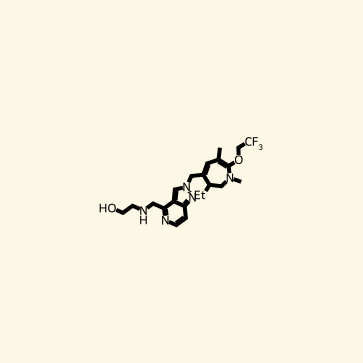 CCC1CN(C)C(OCC(F)(F)F)=C(C)C=C1Cn1cc2c(CNCCO)nccc2n1